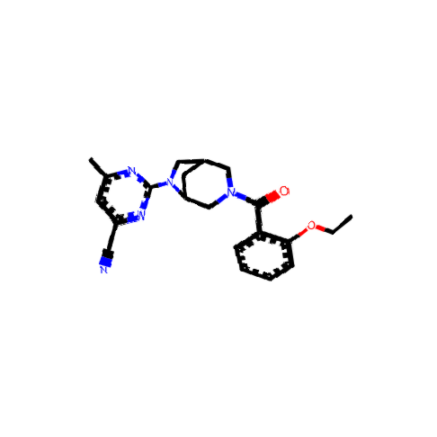 CCOc1ccccc1C(=O)N1CC2CC(C1)N(c1nc(C)cc(C#N)n1)C2